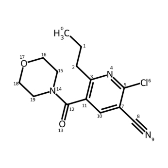 CCCc1nc(Cl)c(C#N)cc1C(=O)N1CCOCC1